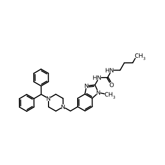 CCCCNC(=O)Nc1nc2cc(CN3CCN(C(c4ccccc4)c4ccccc4)CC3)ccc2n1C